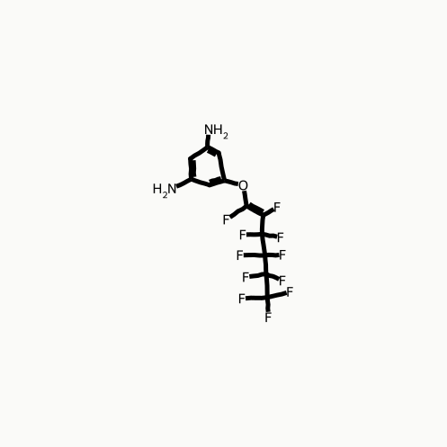 Nc1cc(N)cc(OC(F)=C(F)C(F)(F)C(F)(F)C(F)(F)C(F)(F)F)c1